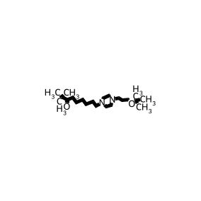 CC(C)(C)OCCCN1CCN(CCCCCCC(=O)C(C)(C)C)CC1